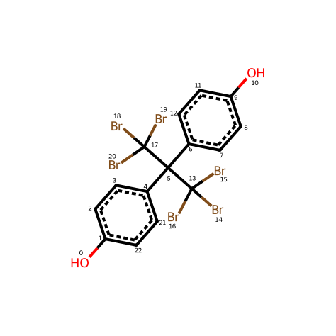 Oc1ccc(C(c2ccc(O)cc2)(C(Br)(Br)Br)C(Br)(Br)Br)cc1